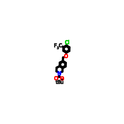 CC(C)(C)OC(=O)N1CCc2cc(COc3ccc(Cl)c(C(F)(F)F)c3)ccc2C1